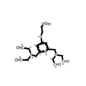 CCCCCCCCCCCCOc1cc(CN(CC=O)CC=O)nc(CN(CC=O)CC=O)c1